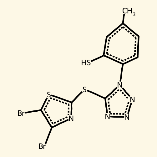 Cc1ccc(-n2nnnc2Sc2nc(Br)c(Br)s2)c(S)c1